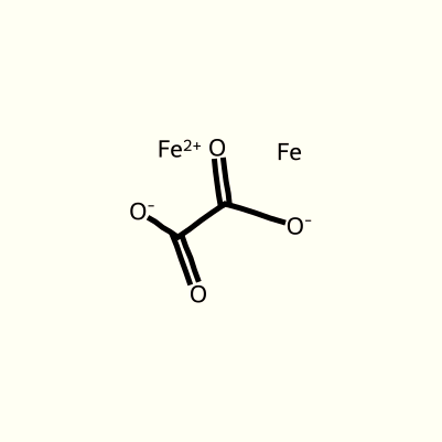 O=C([O-])C(=O)[O-].[Fe+2].[Fe]